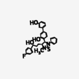 CN1C(=S)N(c2ccccc2)[C@H](c2ccc(-c3cccc(O)c3)cc2O)[C@@H]1CCC(O)c1ccc(F)cc1